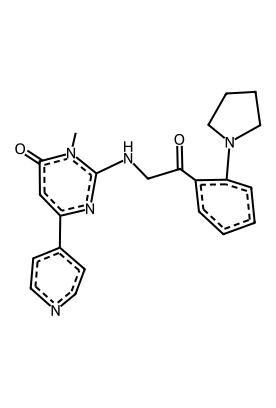 Cn1c(NCC(=O)c2ccccc2N2CCCC2)nc(-c2ccncc2)cc1=O